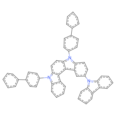 c1ccc(-c2ccc(-n3c4ccccc4c4c5c6cc(-n7c8ccccc8c8ccccc87)ccc6n(-c6ccc(-c7ccccc7)cc6)c5ccc43)cc2)cc1